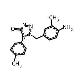 Cc1ccc(-n2c(=O)nnn2Cc2ccc(N)c(C)c2)cc1